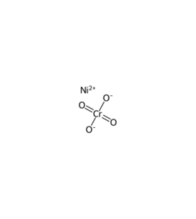 [Ni+2].[O]=[Cr](=[O])([O-])[O-]